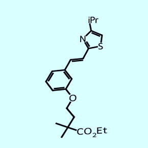 CCOC(=O)C(C)(C)CCOc1cccc(/C=C/c2nc(C(C)C)cs2)c1